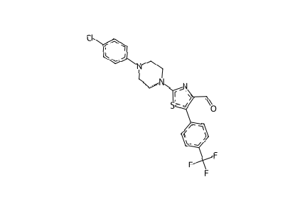 O=Cc1nc(N2CCN(c3ccc(Cl)cc3)CC2)sc1-c1ccc(C(F)(F)F)cc1